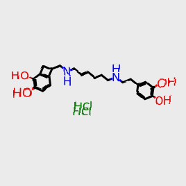 Cl.Cl.Oc1ccc(CCNCCCCCCNCC2Cc3c2ccc(O)c3O)cc1O